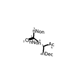 CCCCCCCCCC(=O)CCCCCCCCC.CCCCCCCCCCCC(C)=O